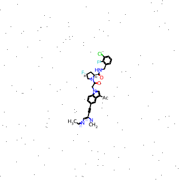 C=N/C(C#Cc1ccc2c(c1)c(C(C)=O)cn2CC(=O)N1C[C@H](F)C[C@H]1C(=O)NCc1cccc(Cl)c1F)=C\N=C/C